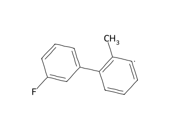 Cc1[c]cccc1-c1cccc(F)c1